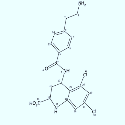 NCCc1ccc(C(=O)NC2CC(C(=O)O)Nc3cc(Cl)cc(Cl)c32)cc1